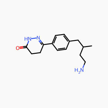 CC(CCN)Cc1ccc(C2=NNC(=O)CC2)cc1